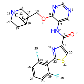 O=C(Nc1cncnc1OCC1CN2CCC1CC2)c1csc(-c2c(F)cccc2F)n1